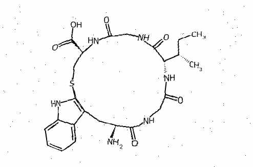 CC[C@H](C)[C@@H]1NC(=O)CNC(=O)[C@@H](N)Cc2c([nH]c3ccccc23)SC[C@@H](C(=O)O)NC(=O)CNC1=O